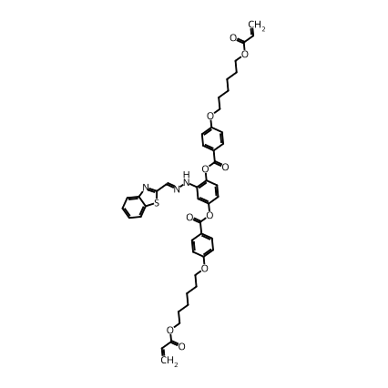 C=CC(=O)OCCCCCCOc1ccc(C(=O)Oc2ccc(OC(=O)c3ccc(OCCCCCCOC(=O)C=C)cc3)c(N/N=C/c3nc4ccccc4s3)c2)cc1